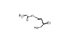 C=CC(=O)OCCC(CC)CO